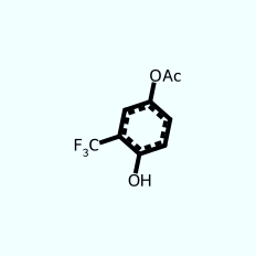 CC(=O)Oc1ccc(O)c(C(F)(F)F)c1